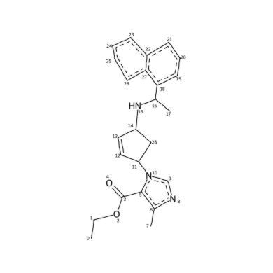 CCOC(=O)c1c(C)ncn1C1C=CC(NC(C)c2cccc3ccccc23)C1